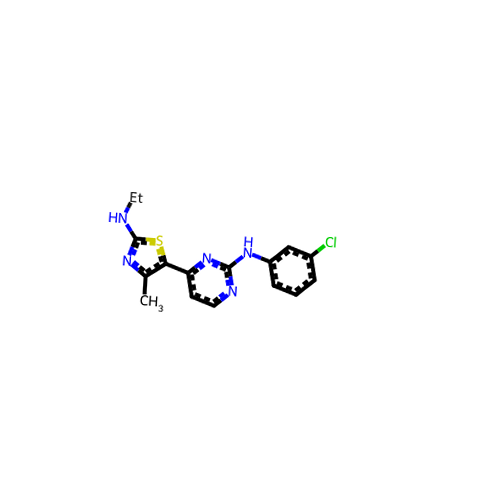 CCNc1nc(C)c(-c2ccnc(Nc3cccc(Cl)c3)n2)s1